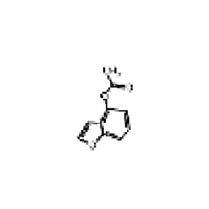 CC(=O)Oc1cccc2occc12